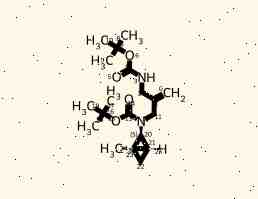 C=C(CNC(=O)OC(C)(C)C)CN(C(=O)OC(C)(C)C)[C@H]1[C@H]2C[C@]21C